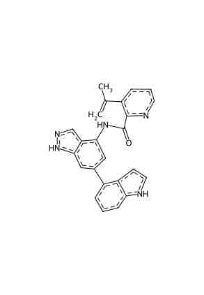 C=C(C)c1cccnc1C(=O)Nc1cc(-c2cccc3[nH]ccc23)cc2[nH]ncc12